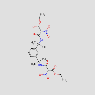 CCOC(=O)C(C(=O)NC(C)(C)c1cccc(C(C)(C)NC(=O)C(C(=O)OCC)[N+](=O)[O-])c1)[N+](=O)[O-]